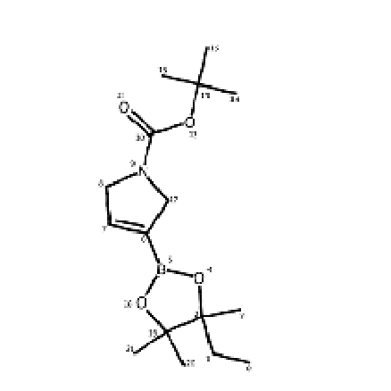 CCC1(C)OB(C2=CCN(C(=O)OC(C)(C)C)C2)OC1(C)C